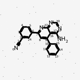 N#Cc1cccc(-c2cc(-c3ccccc3)c3c(N)ncnc3n2)c1